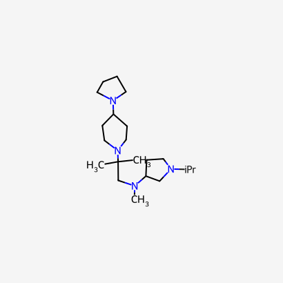 CC(C)N1CCC(N(C)CC(C)(C)N2CCC(N3CCCC3)CC2)C1